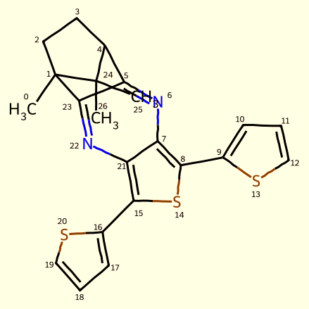 CC12CCC(c3nc4c(-c5cccs5)sc(-c5cccs5)c4nc31)C2(C)C